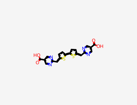 O=C(O)c1cnc(/C=c2\cc/c(=c3\cc/c(=C\c4ncc(C(=O)O)cn4)s3)s2)nc1